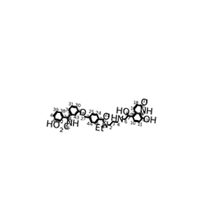 CCN(CCCNC[C@H](O)c1ccc(O)c2[nH]c(=O)ccc12)C(=O)c1ccc(COc2cccc(C(NC(=O)O)c3ccccc3)c2)cc1